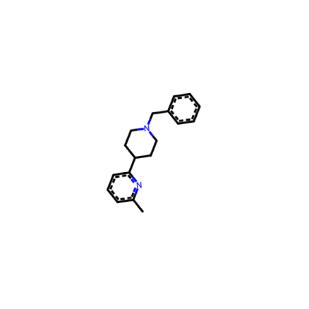 Cc1cccc(C2CCN(Cc3ccccc3)CC2)n1